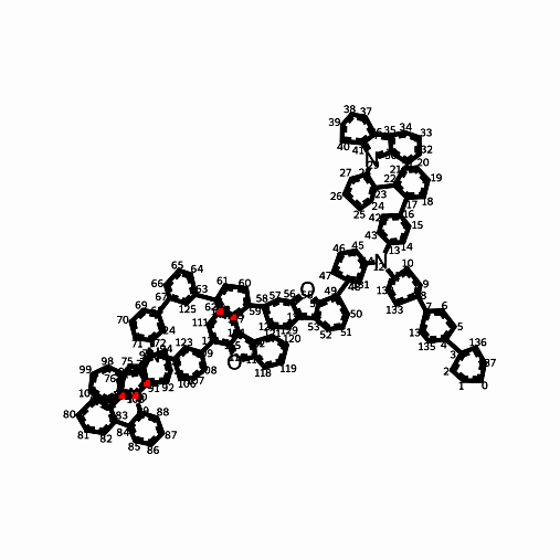 c1ccc(-c2ccc(-c3ccc(N(c4ccc(-c5ccccc5-c5ccccc5-n5c6ccccc6c6ccccc65)cc4)c4cccc(-c5cccc6c5oc5cc(-c7ccc(-c8cccc(-c9cccc(N(c%10ccc(-c%11ccccc%11-c%11ccccc%11-n%11c%12ccccc%12c%12ccccc%12%11)cc%10)c%10cccc(-c%11cccc%12c%11oc%11ccccc%11%12)c%10)c9)c8)cc7)ccc56)c4)cc3)cc2)cc1